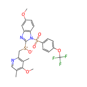 COc1ccc2c(c1)nc([S+]([O-])Cc1ncc(C)c(OC)c1C)n2S(=O)(=O)c1ccc(OC(F)(F)F)cc1